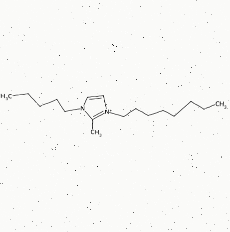 CCCCCCCC[n+]1ccn(CCCCC)c1C